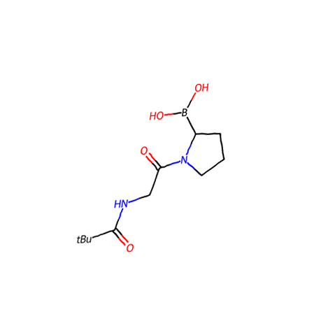 CC(C)(C)C(=O)NCC(=O)N1CCCC1B(O)O